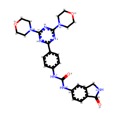 O=C(Nc1ccc(-c2nc(N3CCOCC3)nc(N3CCOCC3)n2)cc1)Nc1ccc2c(c1)CNC2=O